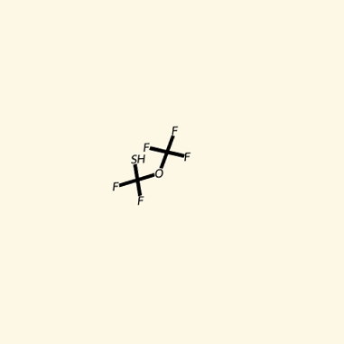 FC(F)(F)OC(F)(F)S